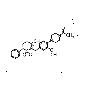 COc1cc(CN2[C@@H](C)CCC(c3ccccc3)S2(=O)=O)ccc1N1CCN(C(C)=O)CC1